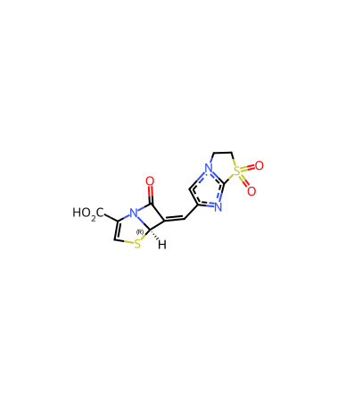 O=C(O)C1=CS[C@@H]2C(=Cc3cn4c(n3)S(=O)(=O)CC4)C(=O)N12